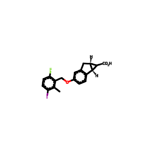 Cc1c(I)ccc(F)c1COc1ccc2c(c1)C[C@H]1C(C(=O)O)[C@@H]21